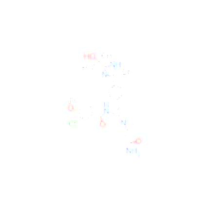 CCc1[nH]c(C(C)(C)O)nc1-c1ccc(C[C@@H](CN2CCC2CC(N)=O)NC(=O)c2ccc(OC(C)C)c(Cl)c2)cc1